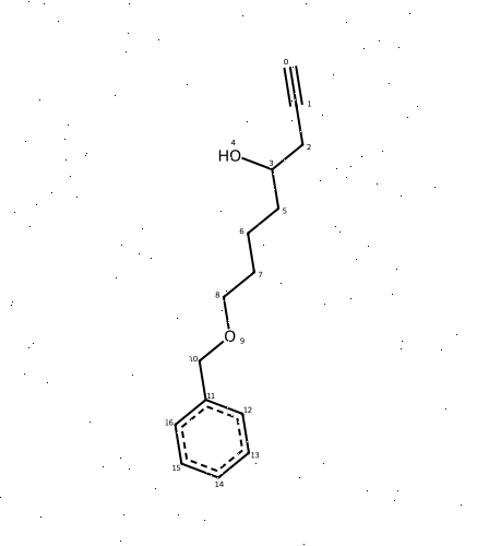 C#CCC(O)CCCCOCc1ccccc1